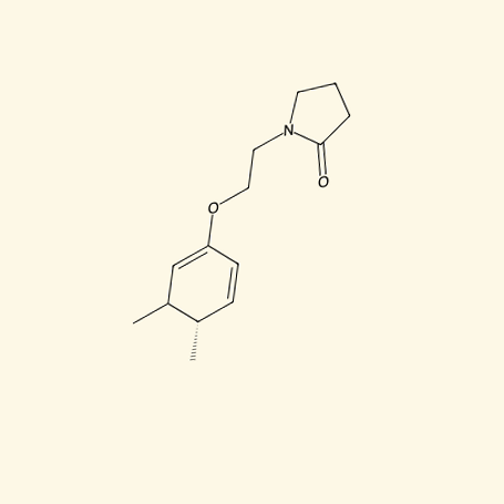 CC1C=C(OCCN2CCCC2=O)C=C[C@@H]1C